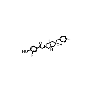 O=C(CN1C[C@@H]2CC(O)(Cc3ccc(F)cc3)C[C@@H]2C1)c1ccc(O)c(F)c1